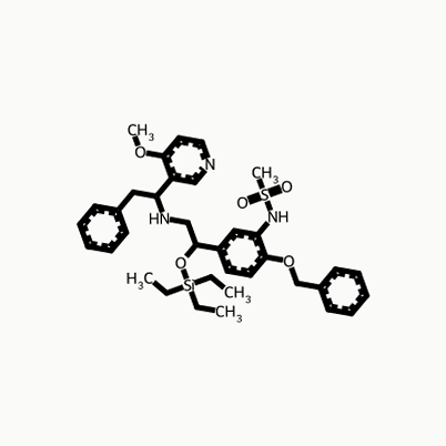 CC[Si](CC)(CC)OC(CNC(Cc1ccccc1)c1cnccc1OC)c1ccc(OCc2ccccc2)c(NS(C)(=O)=O)c1